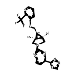 FC(F)(F)c1ncccc1OC[C@H]1[C@H]2CN(c3nccc(-c4nncs4)n3)C[C@@H]12